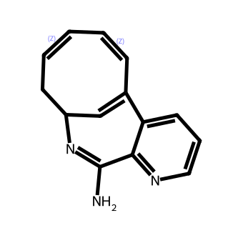 NC1=NC2C=C(/C=C\C=C/C2)c2cccnc21